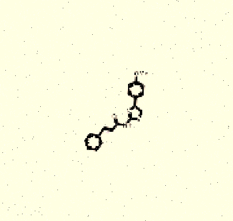 COc1ccc(C2CSC(NC(=O)/C=C/c3ccccc3)=N2)cc1